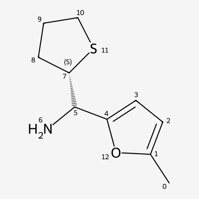 Cc1ccc(C(N)[C@@H]2CCCS2)o1